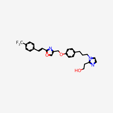 OCCc1nccn1CCCc1ccc(OCc2coc(/C=C/c3ccc(C(F)(F)F)cc3)n2)cc1